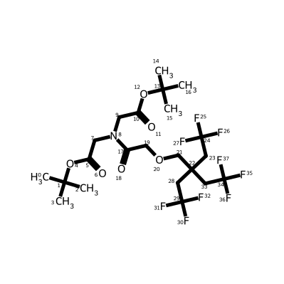 CC(C)(C)OC(=O)CN(CC(=O)OC(C)(C)C)C(=O)COCC(CC(F)(F)F)(CC(F)(F)F)CC(F)(F)F